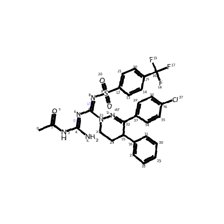 CC(=O)N/C(N)=N/C(=N/S(=O)(=O)c1ccc(C(F)(F)F)cc1)N1CCC(c2ccccc2)C(c2ccc(Cl)cc2)=N1